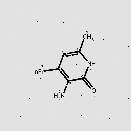 CCCc1cc(C)[nH]c(=O)c1N